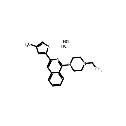 CCN1CCN(c2nc(-c3cc(C)cs3)cc3ccccc23)CC1.Cl.Cl